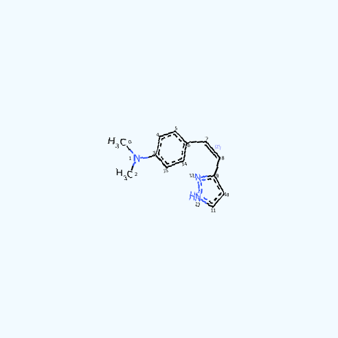 CN(C)c1ccc(/C=C\c2cc[nH]n2)cc1